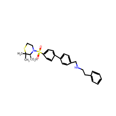 CC1(C)SCCN(S(=O)(=O)c2ccc(-c3ccc(CNCCc4ccccc4)cc3)cc2)[C@H]1C(=O)O